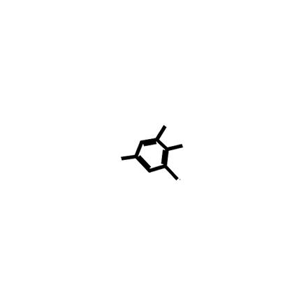 [CH2]c1cc(C)cc(C)c1C